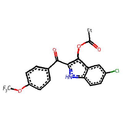 CCC(=O)Oc1c(C(=O)c2ccc(OC(F)(F)F)cc2)[nH]c2ccc(Cl)cc12